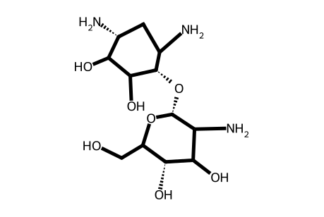 NC1C(O)[C@H](O)C(CO)O[C@@H]1O[C@H]1C(N)C[C@@H](N)C(O)C1O